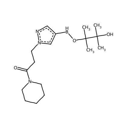 CC(C)(O)C(C)(C)OBc1cnn(CCC(=O)N2CCCCC2)c1